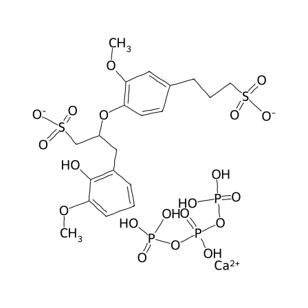 COc1cc(CCCS(=O)(=O)[O-])ccc1OC(Cc1cccc(OC)c1O)CS(=O)(=O)[O-].O=P(O)(O)OP(=O)(O)OP(=O)(O)O.[Ca+2]